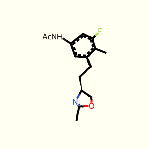 CC(=O)Nc1cc(F)c(C)c(CC[C@H]2COC(C)=N2)c1